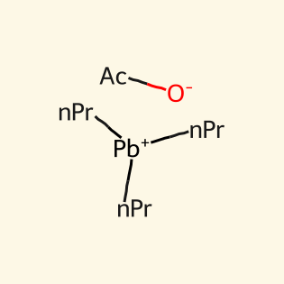 CC(=O)[O-].CC[CH2][Pb+]([CH2]CC)[CH2]CC